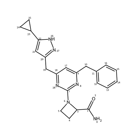 NC(=O)C1CCN1c1nc(Cc2ccccc2)cc(Cc2cc(C3CC3)[nH]n2)n1